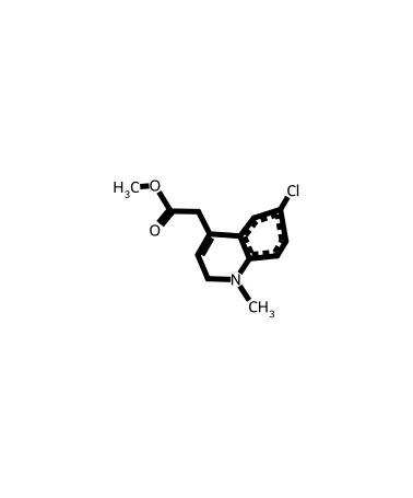 COC(=O)CC1=CCN(C)c2ccc(Cl)cc21